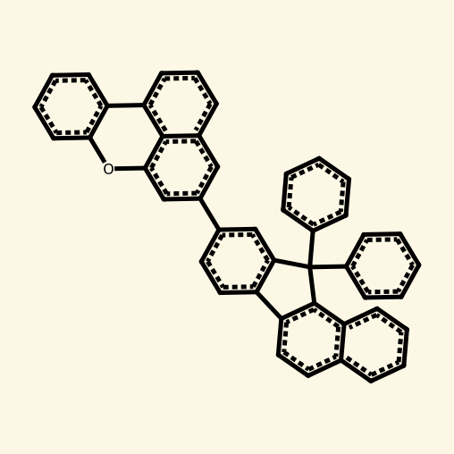 c1ccc(C2(c3ccccc3)c3cc(-c4cc5c6c(cccc6c4)-c4ccccc4O5)ccc3-c3ccc4ccccc4c32)cc1